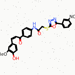 COc1cc(/C=C\C(=O)c2ccc(NC(=O)CSc3nnc(-c4cccc([N+](=O)[O-])c4)o3)cc2)ccc1O